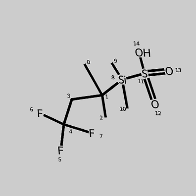 CC(C)(CC(F)(F)F)[Si](C)(C)S(=O)(=O)O